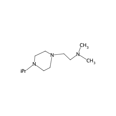 CC(C)N1CCN(CCN(C)C)CC1